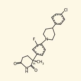 C[C@]1(c2ccc(N3CCC(c4ccc(Cl)cc4)CC3)c(F)c2)CCC(=O)NC1=O